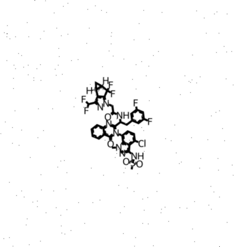 Cn1nc(NS(C)(=O)=O)c2c(Cl)ccc(-n3c(C(Cc4cc(F)cc(F)c4)NC(=O)Cn4nc(C(F)F)c5c4C(F)(F)[C@@H]4C[C@H]54)nc4ccccc4c3=O)c21